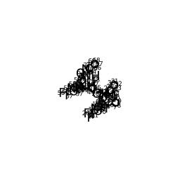 CC(=O)N(NCc1cccc(F)c1Cl)[C@@H](CNCC(F)(F)F)CON(C=O)c1cc2ccccc2cn1.CC(=O)N(NCc1cccc(F)c1Cl)[C@@H](CNCC(F)F)COC(=O)Nc1cc2ccccc2cn1